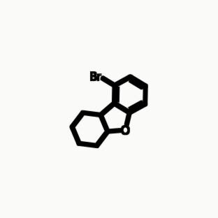 Brc1cccc2c1C1CCCCC1O2